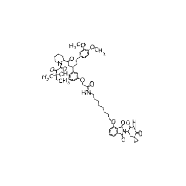 CCC(C)(C)C(=O)C(=O)N1CCCCC1C(=O)CC(CCc1ccc(OC)c(OC)c1)c1cccc(OCC(=O)NCCCCCCCCOc2cccc3c2C(=O)N(C2CC4(CC4)C(=O)NC2=O)C3=O)c1